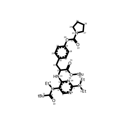 CCN(CC)c1ncc(N(CC)C(=O)C(C)(C)C)c(NC(Cc2ccc(OC(=O)N3CCCC3)cc2)C(=O)OC(C)(C)C)n1